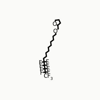 FC(F)(F)C(F)(F)C(F)(F)C(F)(F)C(F)(F)CCCCCCCCCCOCC1CCCO1